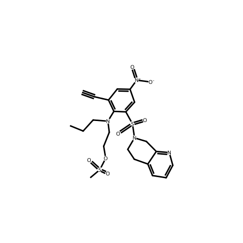 C#Cc1cc([N+](=O)[O-])cc(S(=O)(=O)N2CCc3cccnc3C2)c1N(CCC)CCOS(C)(=O)=O